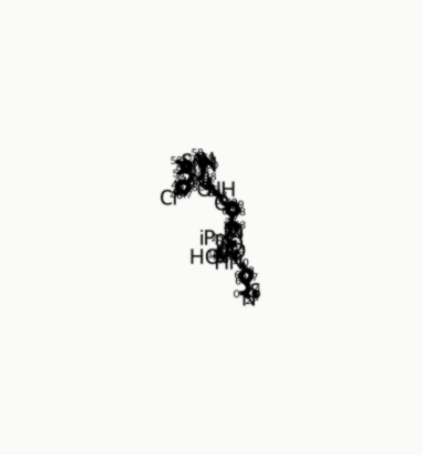 Cc1ncsc1-c1ccc(CNC(=O)[C@@H]2C[C@@H](O)CN2C(=O)C(C(C)C)n2cc(-c3cccc(OCCNC(=O)C[C@@H]4N=C(c5ccc(Cl)cc5)c5c(sc(C)c5C)-n5c(C)nnc54)c3)cn2)cc1